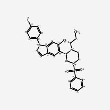 CCCN1CCN(S(=O)(=O)c2ccccn2)C[C@H]1c1cc2cnn(-c3ccc(F)cc3)c2cc1C